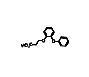 O=C(O)CCOc1ccccc1Oc1ccccc1